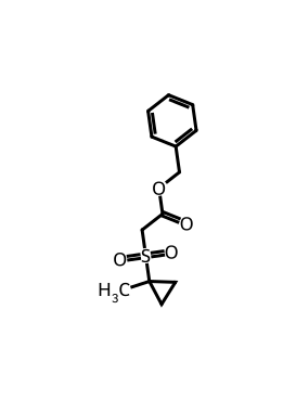 CC1(S(=O)(=O)CC(=O)OCc2ccccc2)CC1